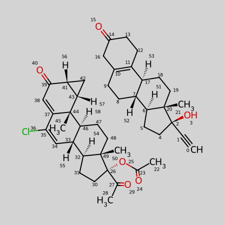 C#C[C@]1(O)CC[C@H]2[C@@H]3CCC4=C(CCC(=O)C4)[C@H]3CC[C@@]21C.CC(=O)O[C@]1(C(C)=O)CC[C@H]2[C@@H]3C=C(Cl)C4=CC(=O)[C@@H]5C[C@@H]5[C@]4(C)[C@H]3CC[C@@]21C